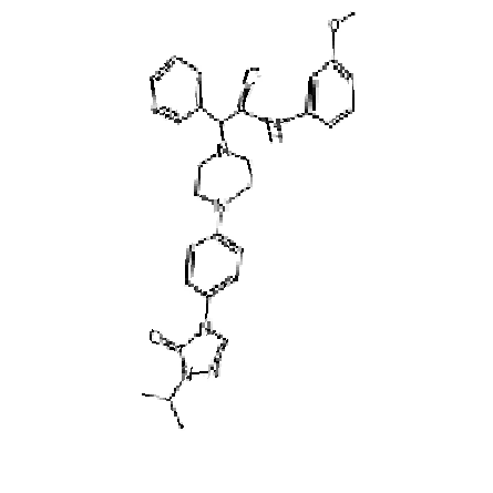 COc1cccc(NC(=O)C(c2ccccc2)N2CCN(c3ccc(-n4cnn(C(C)C)c4=O)cc3)CC2)c1